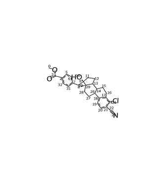 COC(=O)c1ccc(C[C@]2(O)CCC3C4CCc5c(ccc(C#N)c5Cl)C4CC[C@@]32C)cc1